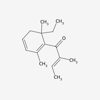 CC=C(C)C(=O)C1=C(C)C=CCC1(C)CC